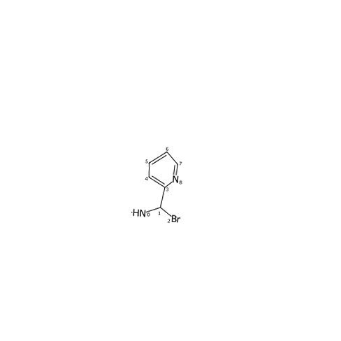 [NH]C(Br)c1ccccn1